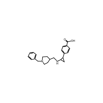 O=C(O)c1ccc(C2CC2NCC2CCN(Cc3ccccc3)CC2)cc1